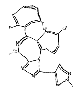 C[C@@H]1N=C(c2c(F)cccc2F)c2c(ccc(Cl)c2Br)-n2c(-c3cnn(C)c3)nnc21